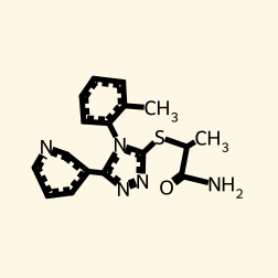 Cc1ccccc1-n1c(SC(C)C(N)=O)nnc1-c1cccnc1